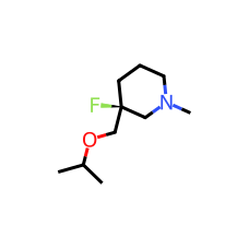 CC(C)OC[C@]1(F)CCCN(C)C1